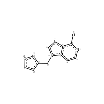 Clc1nccc2c1ncn2Cc1ccon1